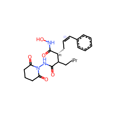 CC(C)CC(C(=O)NN1C(=O)CCCC1=O)[C@@H](C/C=C\c1ccccc1)C(=O)NO